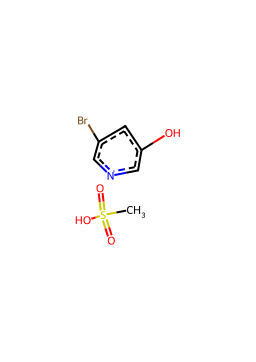 CS(=O)(=O)O.Oc1cncc(Br)c1